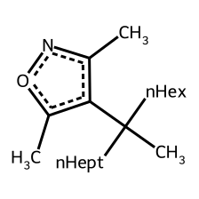 CCCCCCCC(C)(CCCCCC)c1c(C)noc1C